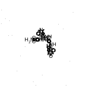 CC1=NC(C)c2cc3c(NS(=O)(=O)c4ccc(Nc5ncc6cc7n(c6n5)C5(CCCCC5)C(C)C(=O)N7C)cc4)nc(Nc4ccc(S(N)(=O)=O)cc4)nc3n2C12CCCCC2